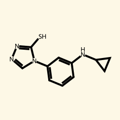 Sc1nncn1-c1cccc(NC2CC2)c1